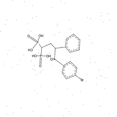 O=C(c1ccc(Br)cc1)C(CC(P(=O)(O)O)P(=O)(O)O)c1ccccc1